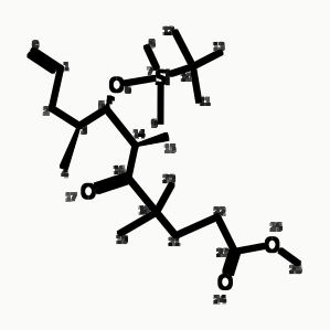 C=CC[C@H](C)[C@H](O[Si](C)(C)C(C)(C)C)[C@@H](C)C(=O)C(C)(C)CCC(=O)OC